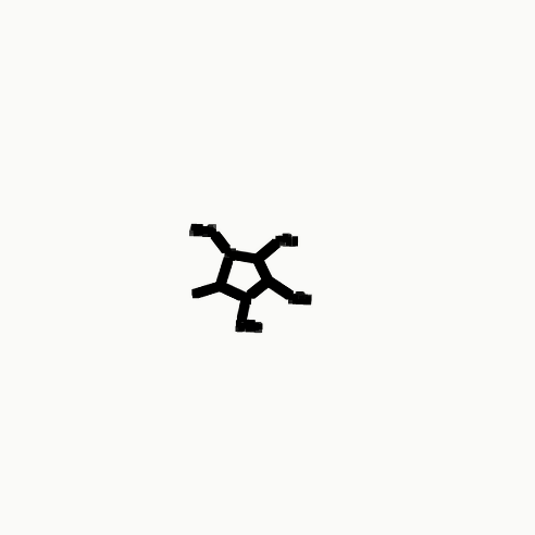 CCCCC1C(CCCC)N(SC)C(C)N1SC